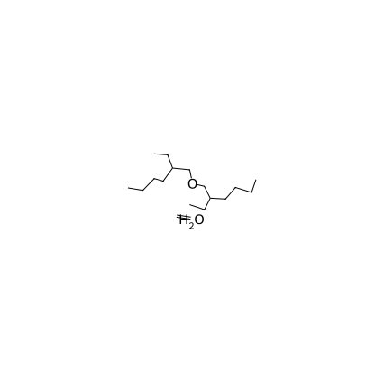 C=C.CCCCC(CC)COCC(CC)CCCC.O